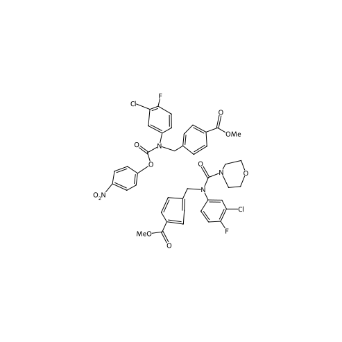 COC(=O)c1ccc(CN(C(=O)N2CCOCC2)c2ccc(F)c(Cl)c2)cc1.COC(=O)c1ccc(CN(C(=O)Oc2ccc([N+](=O)[O-])cc2)c2ccc(F)c(Cl)c2)cc1